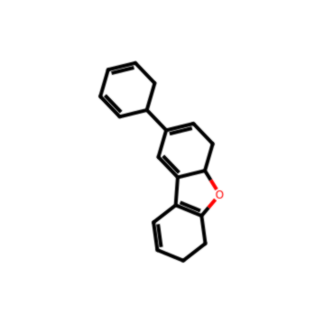 C1=CCC(C2=CCC3OC4=C(C=CCC4)C3=C2)C=C1